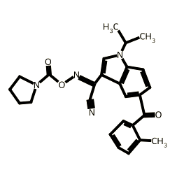 Cc1ccccc1C(=O)c1ccc2c(c1)c(/C(C#N)=N/OC(=O)N1CCCC1)cn2C(C)C